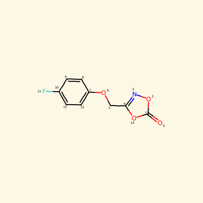 O=c1onc(COc2ccc(F)cc2)o1